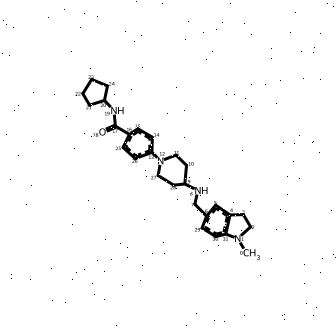 CN1CCc2cc(CNC3CCN(c4ccc(C(=O)NC5CCCC5)cc4)CC3)ccc21